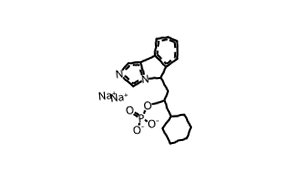 O=P([O-])([O-])OC(CC1c2ccccc2-c2cncn21)C1CCCCC1.[Na+].[Na+]